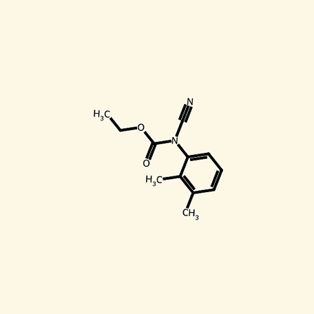 CCOC(=O)N(C#N)c1cccc(C)c1C